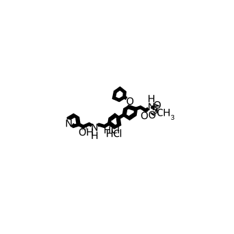 CS(=O)(=O)NC(=O)Cc1ccc(-c2ccc(CCNC[C@@H](O)c3cccnc3)cc2)cc1OC1CCCCC1.Cl.Cl